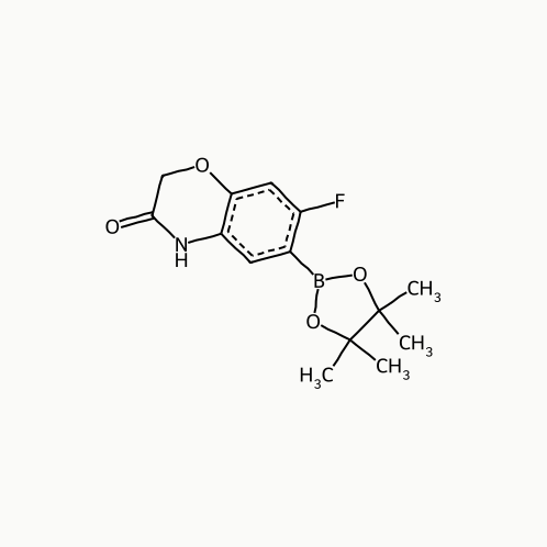 CC1(C)OB(c2cc3c(cc2F)OCC(=O)N3)OC1(C)C